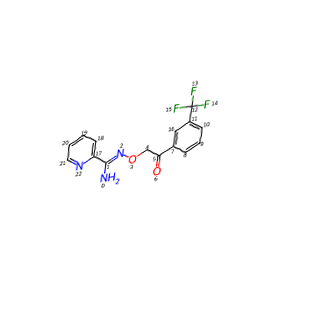 NC(=NOCC(=O)c1cccc(C(F)(F)F)c1)c1ccccn1